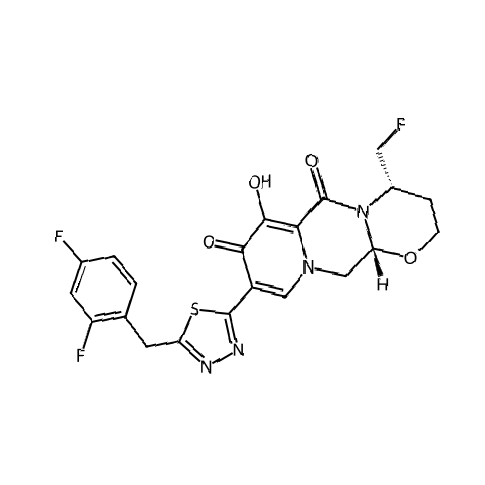 O=C1c2c(O)c(=O)c(-c3nnc(Cc4ccc(F)cc4F)s3)cn2C[C@H]2OCC[C@@H](CF)N12